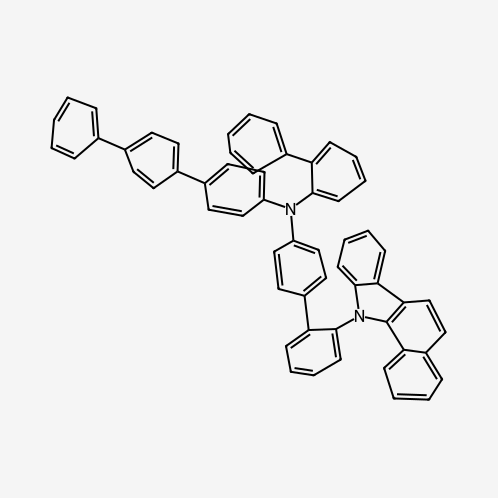 c1ccc(-c2ccc(-c3ccc(N(c4ccc(-c5ccccc5-n5c6ccccc6c6ccc7ccccc7c65)cc4)c4ccccc4-c4ccccc4)cc3)cc2)cc1